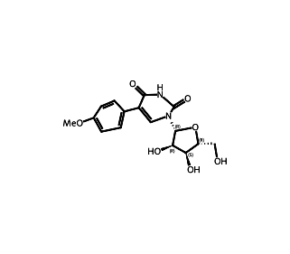 COc1ccc(-c2cn([C@@H]3O[C@H](CO)[C@@H](O)[C@H]3O)c(=O)[nH]c2=O)cc1